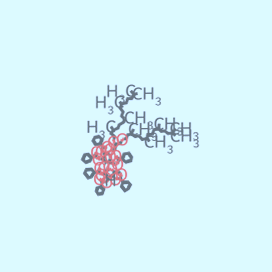 CC(C)CCCC(C)CCCC(C)CCCC(C)CCOCC(CO[C@@H]1OC(COC(=O)c2ccccc2)[C@@H](O[C@@H]2OC3COC(c4ccccc4)O[C@@H]3C(OC(=O)c3ccccc3)C2OC(=O)c2ccccc2)C(OC(=O)c2ccccc2)C1OC(=O)c1ccccc1)OCCC(C)CCCC(C)CCCC(C)CCCC(C)C